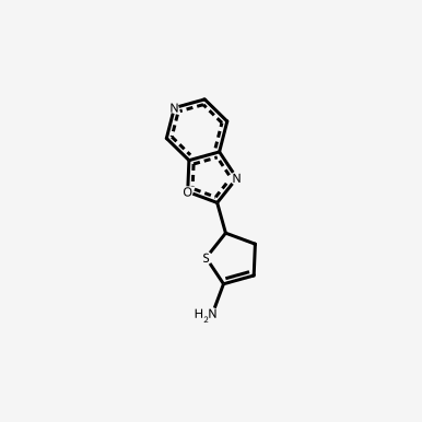 NC1=CCC(c2nc3ccncc3o2)S1